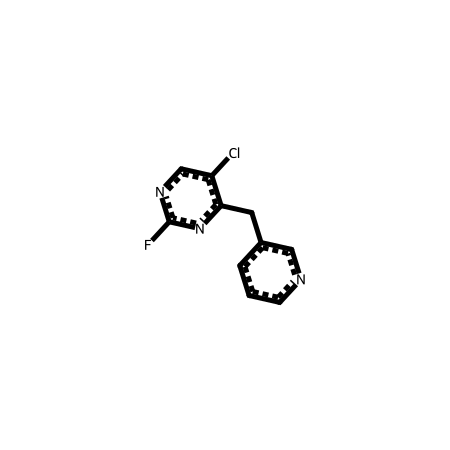 Fc1ncc(Cl)c(Cc2cccnc2)n1